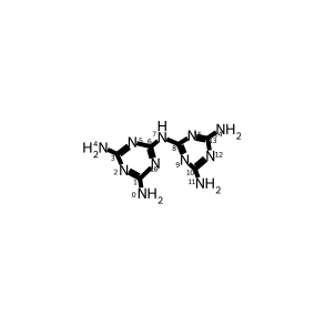 Nc1nc(N)nc(Nc2nc(N)nc(N)n2)n1